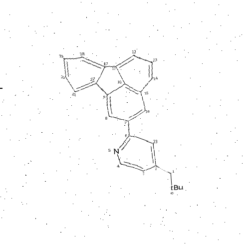 CC(C)(C)Cc1ccnc(-c2cc3c4c(cccc4c2)-c2ccccc2-3)c1